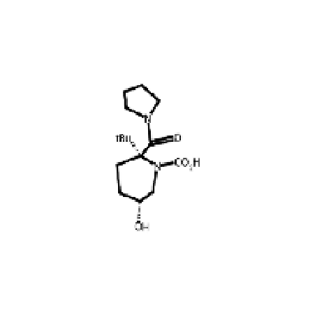 CC(C)(C)[C@@]1(C(=O)N2CCCC2)CC[C@@H](O)CN1C(=O)O